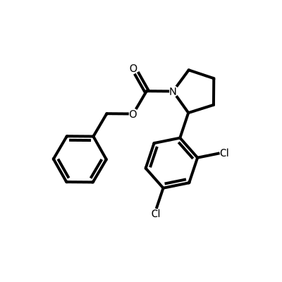 O=C(OCc1ccccc1)N1CCCC1c1ccc(Cl)cc1Cl